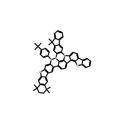 CC(C)(C)c1ccc(N2B3c4cc5c(cc4-n4c6ccc7c8ccccc8oc7c6c6ccc(c3c64)-c3cc4c(cc32)oc2cc3c(cc24)C(C)(C)CCC3(C)C)-c2ccccc2C5(C)C)cc1